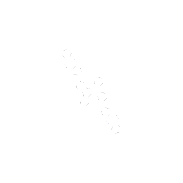 CN1c2ccccc2C=Cc2cc(-c3ccc4c5ccccc5c5c6cc(-c7ccc8c(c7)C=Cc7ccccc7N8C)ccc6c6ccccc6c5c4c3)ccc21